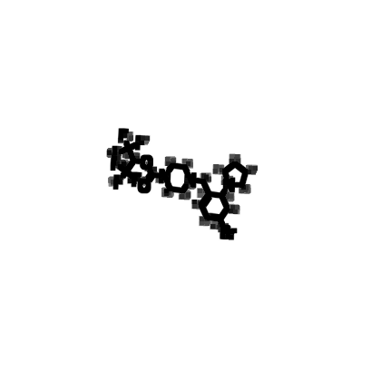 O=C(OC(C(F)(F)F)C(F)(F)F)N1CCN(CC2=CC=C(Br)CC2N2CCCC2)CC1